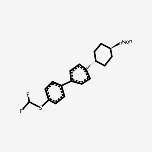 CCCCCCCCC[C@H]1CC[C@H](c2ccc(-c3ccc(SC(F)F)cc3)cc2)CC1